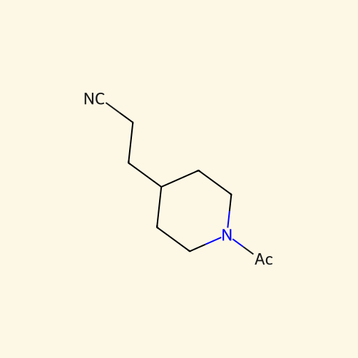 CC(=O)N1CCC(CCC#N)CC1